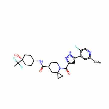 COc1cc(-c2cc(C(=O)N3CC[C@H](C(=O)N[C@H]4CC[C@@](O)(C(C)(F)F)CC4)CC34CC4)n[nH]2)c(F)cn1